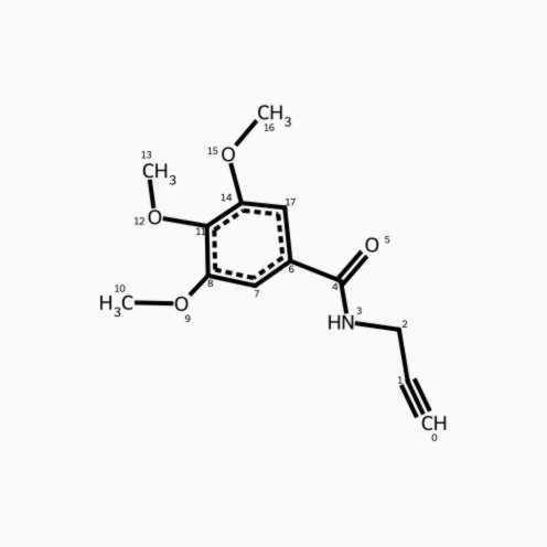 C#CCNC(=O)c1cc(OC)c(OC)c(OC)c1